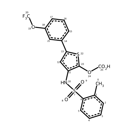 Cc1ccccc1S(=O)(=O)Nc1cc(-c2cccc(OC(F)(F)F)c2)sc1OC(=O)O